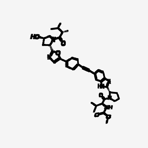 COC(=O)N[C@H](C(=O)N1CCC[C@H]1c1nc2ccc(C#Cc3ccc(-c4cnc([C@@H]5C[C@@H](O)CN5C(=O)[C@@H](C)C(C)C)o4)cc3)cc2[nH]1)C(C)C